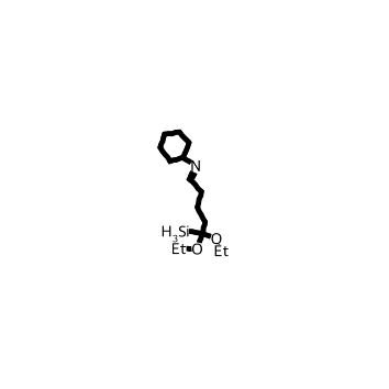 CCOC([SiH3])(CCCC=NC1CCCCC1)OCC